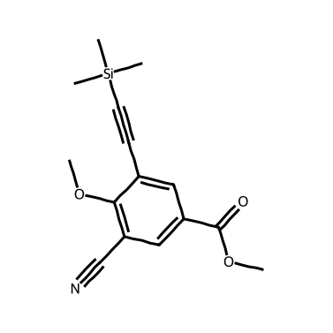 COC(=O)c1cc(C#N)c(OC)c(C#C[Si](C)(C)C)c1